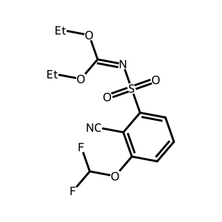 CCOC(=NS(=O)(=O)c1cccc(OC(F)F)c1C#N)OCC